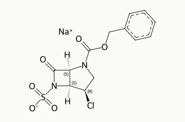 O=C(OCc1ccccc1)N1C[C@@H](Cl)[C@@H]2[C@H]1C(=O)N2S(=O)(=O)[O-].[Na+]